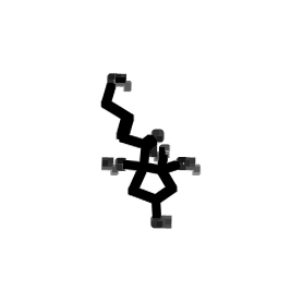 CC/C=C/C(=O)C1(C)CC(O)CC1(C)C